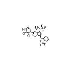 NC(c1nn(Cc2ccccc2C(F)(F)F)c2c1CN(c1cn[nH]c(=O)c1Cl)CC2)C(F)(F)F